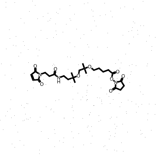 CC(C)(CCNC(=O)CCN1C(=O)C=CC1=O)OCC(C)(C)OCCCCC(=O)ON1C(=O)CCC1=O